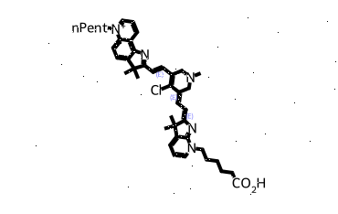 CCCCC[n+]1cccc2c3c(ccc21)C(C)(C)C(/C=C/C1=C(Cl)C(=C/C=C2/N=C4C(=CC=CN4CCCCCC(=O)O)C2(C)C)/CN(C)C1)=N3